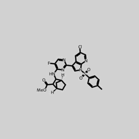 COC(=O)C1C(Nc2nc(-c3cn(S(=O)(=O)c4ccc(C)cc4)c4ncc(Cl)cc34)ncc2F)[C@H]2CC[C@H]1C2